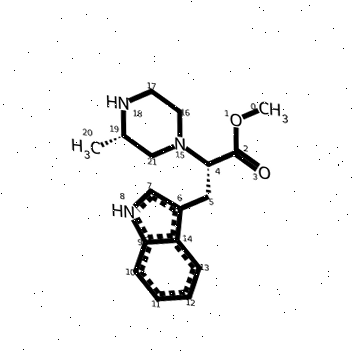 COC(=O)[C@H](Cc1c[nH]c2ccccc12)N1CCN[C@@H](C)C1